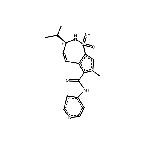 CC(C)[C@@H]1C=Cc2c(cn(C)c2C(=O)Nc2ccncc2)S(=N)(=O)N1